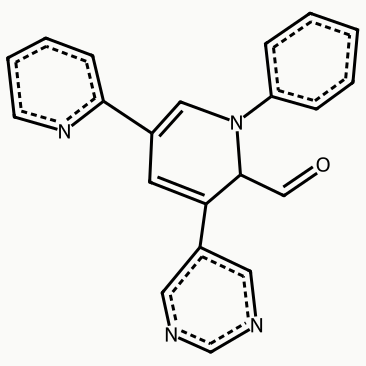 O=CC1C(c2cncnc2)=CC(c2ccccn2)=CN1c1ccccc1